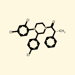 C[C@@H](C(=O)N1CCN(c2ccc(Cl)cc2Cl)C(c2ccc(Cl)cc2)C1)c1ccccc1